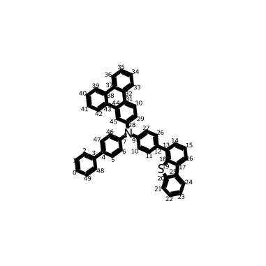 c1ccc(-c2ccc(N(c3ccc(-c4cccc5c4sc4ccccc45)cc3)c3ccc4c5ccccc5c5ccccc5c4c3)cc2)cc1